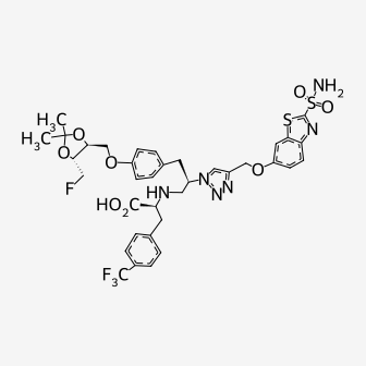 CC1(C)O[C@@H](CF)[C@H](COc2ccc(C[C@H](CN[C@@H](Cc3ccc(C(F)(F)F)cc3)C(=O)O)n3cc(COc4ccc5nc(S(N)(=O)=O)sc5c4)nn3)cc2)O1